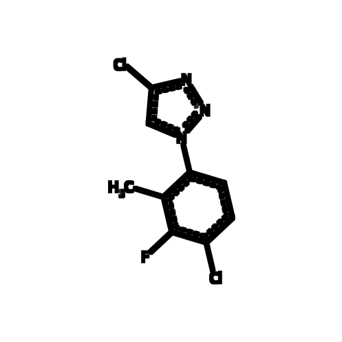 Cc1c(-n2cc(Cl)nn2)ccc(Cl)c1F